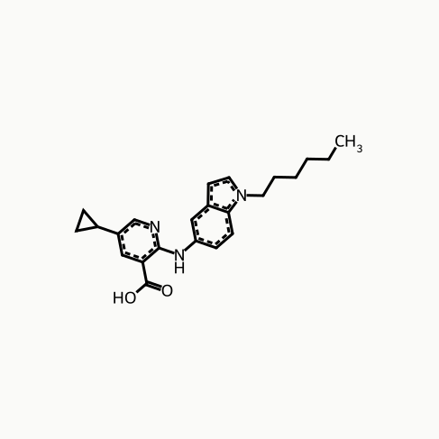 CCCCCCn1ccc2cc(Nc3ncc(C4CC4)cc3C(=O)O)ccc21